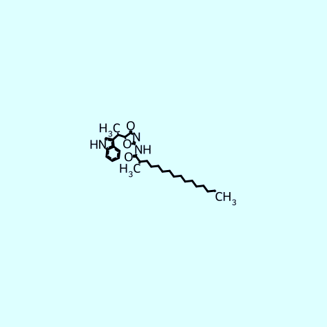 CCCCCCCCCCCCCCC(C)C(=O)NC1=NC(=O)[C@H]([C@H](C)c2c[nH]c3ccccc23)O1